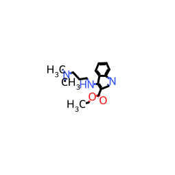 CCOC(=O)c1cnc2ccccc2c1NCCCN(C)C